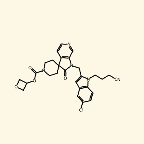 N#CCCCn1c(CN2C(=O)C3(CCN(C(=O)OC4COC4)CC3)c3ccncc32)cc2cc(Cl)ccc21